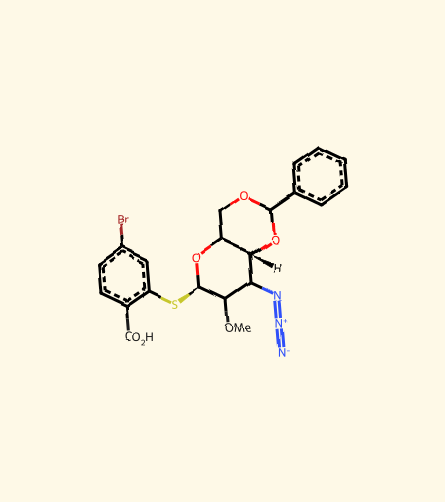 COC1C(N=[N+]=[N-])[C@H]2OC(c3ccccc3)OCC2O[C@@H]1Sc1cc(Br)ccc1C(=O)O